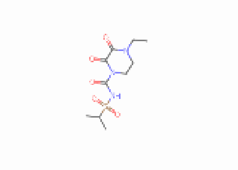 CCN1CCN(C(=O)NS(=O)(=O)C(C)C)C(=O)C1=O